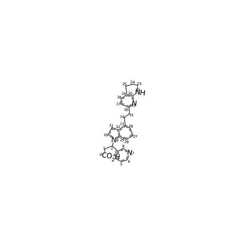 O=C(O)CC(c1cccnc1)n1ccc2c(CCc3ccc4c(n3)NCCC4)cccc21